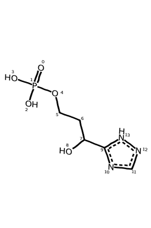 O=P(O)(O)OCCC(O)c1ncn[nH]1